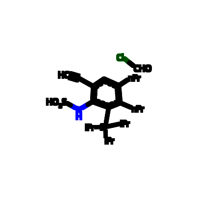 C#Cc1cc(CCC)c(CCC)c([Si](C(C)C)(C(C)C)C(C)C)c1NS(=O)(=O)O.O=CCl